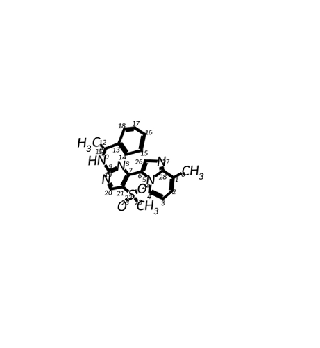 Cc1cccn2c(-c3nc(N[C@@H](C)c4ccccc4)ncc3S(C)(=O)=O)cnc12